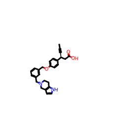 CC#C[C@@H](CC(=O)O)c1ccc(OCc2cccc(CN3CCc4[nH]ccc4C3)c2)cc1